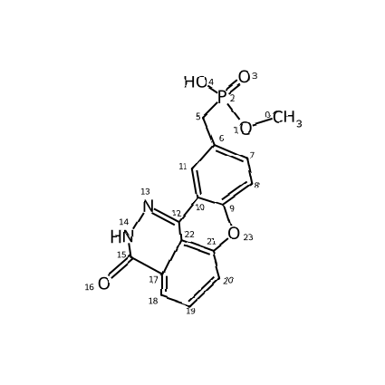 COP(=O)(O)Cc1ccc2c(c1)-c1n[nH]c(=O)c3cccc(c13)O2